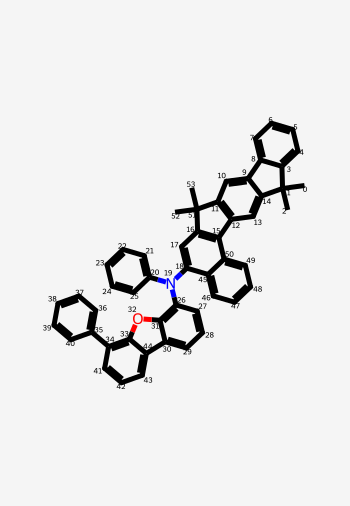 CC1(C)c2ccccc2-c2cc3c(cc21)-c1c(cc(N(c2ccccc2)c2cccc4c2oc2c(-c5ccccc5)cccc24)c2ccccc12)C3(C)C